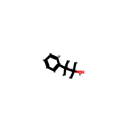 CC(C)(O)C(C)(C)c1ccccc1